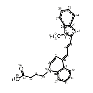 C[n+]1c(C=CC=C2C=CN(CCCC(=O)O)c3ccccc32)sc2ccccc21